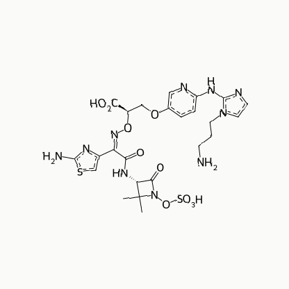 CC1(C)[C@H](NC(=O)/C(=N\O[C@H](COc2ccc(Nc3nccn3CCCN)nc2)C(=O)O)c2csc(N)n2)C(=O)N1OS(=O)(=O)O